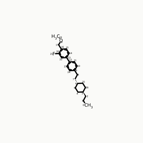 CCC[C@H]1CC[C@H](CCc2ccc(-c3ccc(COC)c(F)c3)cc2)CC1